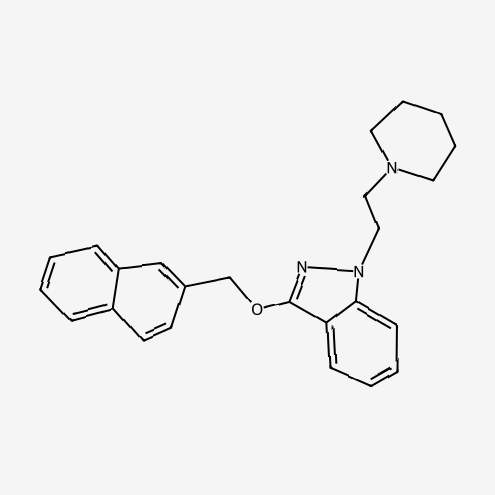 c1ccc2cc(COc3nn(CCN4CCCCC4)c4ccccc34)ccc2c1